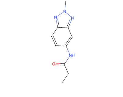 CCC(=O)Nc1ccc2nn(C)nc2c1